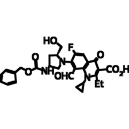 CCc1c(C(=O)O)c(=O)c2cc(F)c(N3C[C@H](NC(=O)OCc4ccccc4)C[C@H]3CO)c(C=O)c2n1C1CC1